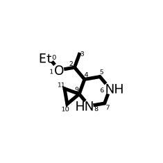 CCOC(C)C1CNCNC12CC2